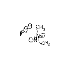 C1CCOC1.C1CCOC1.CCCC[N]([Hf+2][N](CCCC)c1ccccc1)c1ccccc1.[F-].[F-]